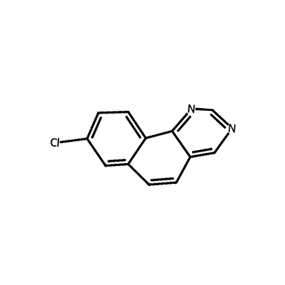 Clc1ccc2c(ccc3cncnc32)c1